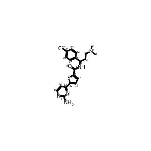 CN(C)CCC(NC(=O)c1ccc(-c2ccnc(N)n2)s1)c1ccc(Cl)cc1